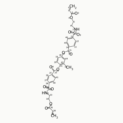 C=CC(=O)OCCNS(=O)(=O)c1ccc(C(=O)Oc2ccc(OC(=O)c3ccc(S(=O)(=O)NCCOC(=O)C=C)cc3)c(C)c2)cc1